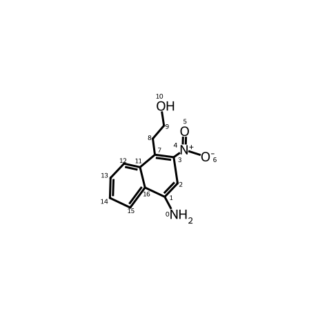 Nc1cc([N+](=O)[O-])c(CCO)c2ccccc12